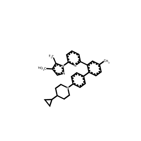 Cc1ccc(-c2ccc(N3CCC(C4CC4)CC3)cc2)c(-c2cccc(-n3ncc(C(=O)O)c3C(F)(F)F)n2)c1